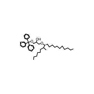 CCCCCCCCCCC[C@H](OCC(O)COC(c1ccccc1)(c1ccccc1)c1ccccc1)C(C)CCCCCC